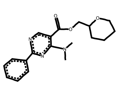 CN(C)c1nc(-c2ccccc2)ncc1C(=O)OCC1CCCCO1